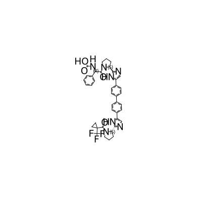 O=C(O)N[C@@H](C(=O)N1CCC[C@H]1c1ncc(-c2ccc(-c3ccc(-c4cnc([C@@H]5CCCN5C(=O)C5(C(F)(F)F)CC5)[nH]4)cc3)cc2)[nH]1)c1ccccc1